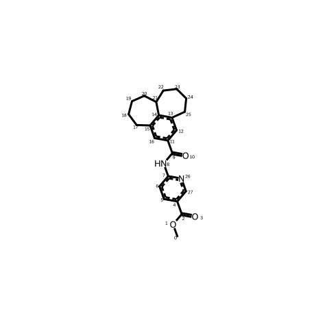 COC(=O)c1ccc(NC(=O)c2cc3c4c(c2)CCCCC4CCCC3)nc1